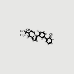 CC(C)(O)c1ccn2c(-c3cc(-c4ccccc4C#N)ccc3F)cnc2c1F